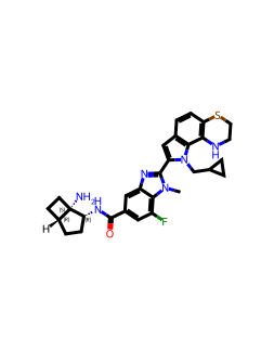 Cn1c(-c2cc3ccc4c(c3n2CC2CC2)NCCS4)nc2cc(C(=O)N[C@@H]3CC[C@@H]4CC[C@]43N)cc(F)c21